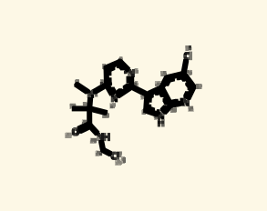 CN(c1ccnc(-c2c[nH]c3ncc(Cl)cc23)n1)C(C)(C)C(=O)NCC(F)(F)F